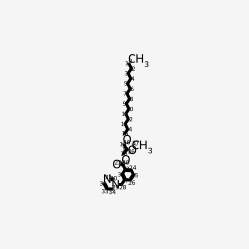 CCCCCCCCCCCCCCCCOCC(COC(=O)c1cccc(CN2C=NC=CC2)c1)OC